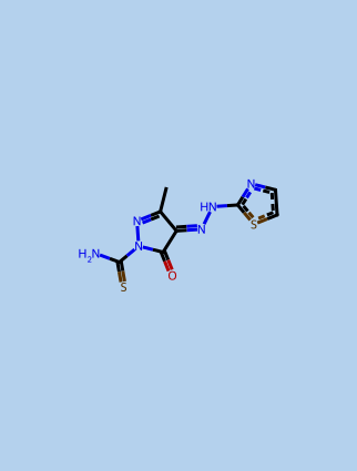 CC1=NN(C(N)=S)C(=O)/C1=N/Nc1nccs1